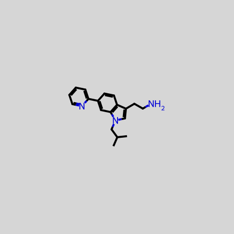 CC(C)Cn1cc(CCN)c2ccc(-c3ccccn3)cc21